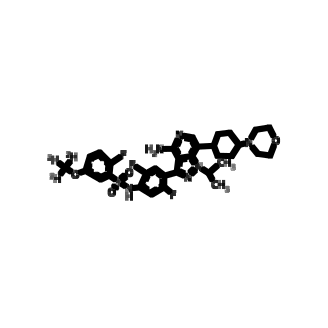 [2H]C([2H])([2H])Oc1ccc(F)c(S(=O)(=O)Nc2cc(F)c(-c3nn(C(C)C)c4c(C5CCC(N6CCOCC6)CC5)cnc(N)c34)cc2F)c1